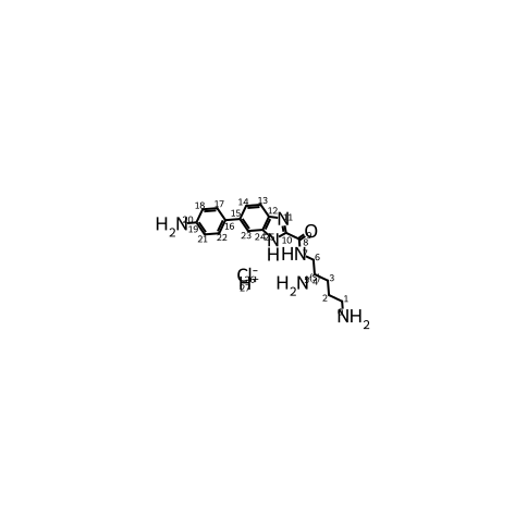 NCCC[C@H](N)CNC(=O)c1nc2ccc(-c3ccc(N)cc3)cc2[nH]1.[Cl-].[H+]